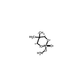 CC1(C)COP(=O)(ON)OC1